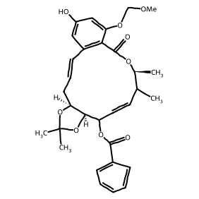 COCOc1cc(O)cc2c1C(=O)O[C@@H](C)C(C)/C=C\C(OC(=O)c1ccccc1)[C@H]1OC(C)(C)O[C@H]1C/C=C/2